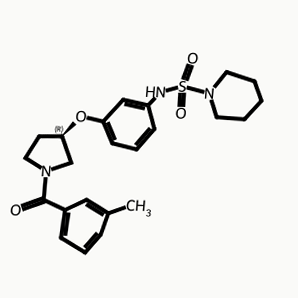 Cc1cccc(C(=O)N2CC[C@@H](Oc3cccc(NS(=O)(=O)N4CCCCC4)c3)C2)c1